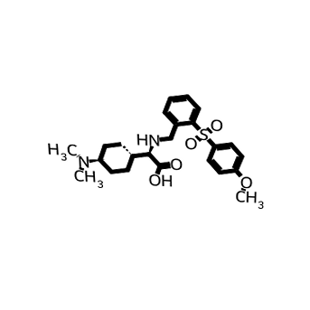 COc1ccc(S(=O)(=O)c2ccccc2CN[C@@H](C(=O)O)[C@H]2CC[C@H](N(C)C)CC2)cc1